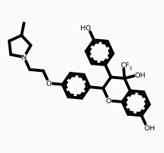 CC1CCN(CCOc2ccc(C3Oc4cc(O)ccc4C(O)(C(F)(F)F)C3c3ccc(O)cc3)cc2)C1